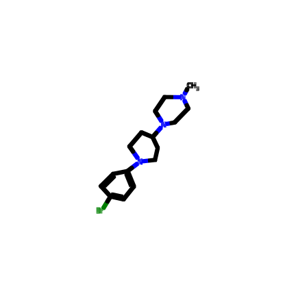 CN1CCN(C2CCN(c3ccc(Br)cc3)CC2)CC1